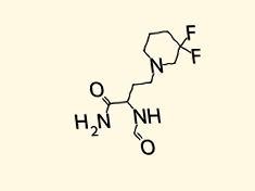 NC(=O)C(CCN1CCCC(F)(F)C1)NC=O